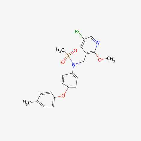 COc1ncc(Br)cc1CN(c1ccc(Oc2ccc(C)cc2)cc1)S(C)(=O)=O